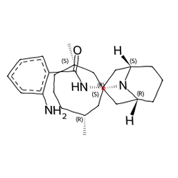 C[C@@H]1CCC[C@H](C)C[C@H](N2[C@@H]3CCC[C@H]2C[C@@H](NC(=O)c2ccccc2N)C3)C1